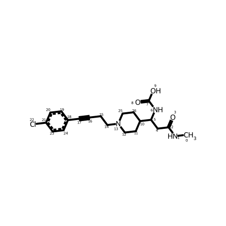 CNC(=O)CC(NC(=O)O)C1CCN(CCC#Cc2ccc(Cl)cc2)CC1